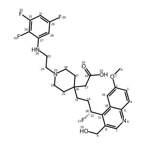 COc1ccc2ncc(CO)c([C@H](F)CCC3(CC(=O)O)CCN(CCNc4cc(F)cc(F)c4F)CC3)c2c1